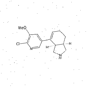 COc1cc(C2=CCC[C@H]3CNC[C@@H]23)cnc1Cl